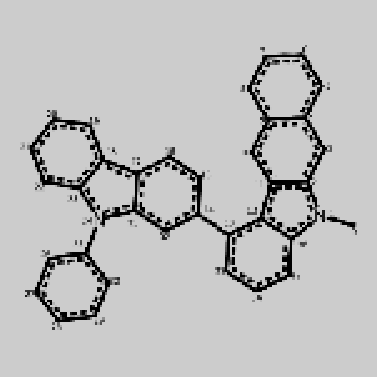 Cn1c2cc3ccccc3cc2c2c(-c3ccc4c5ccccc5n(-c5ccccc5)c4c3)cccc21